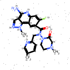 CN1CCN(N(Cc2ccc(C(F)(F)F)cn2)C(=O)c2cc3c(cc2F)nc(N)c2cnn(C)c23)C(=O)C1